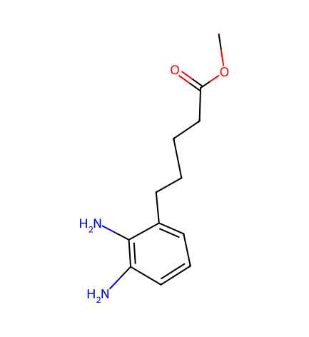 COC(=O)CCCCc1cccc(N)c1N